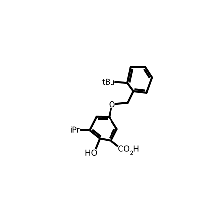 CC(C)c1cc(OCc2ccccc2C(C)(C)C)cc(C(=O)O)c1O